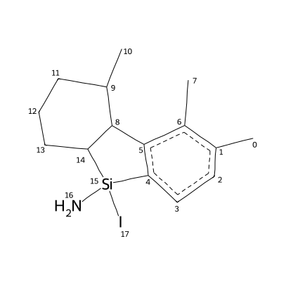 Cc1ccc2c(c1C)C1C(C)CCCC1[Si]2(N)I